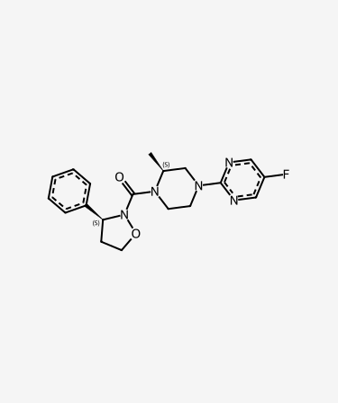 C[C@H]1CN(c2ncc(F)cn2)CCN1C(=O)N1OCC[C@H]1c1ccccc1